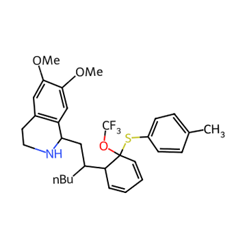 CCCCC(CC1NCCc2cc(OC)c(OC)cc21)C1C=CC=CC1(OC(F)(F)F)Sc1ccc(C)cc1